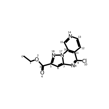 CCOC(=O)c1cc2nc(Cl)c3ccncc3n2n1